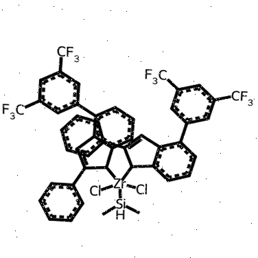 C[SiH](C)[Zr]([Cl])([Cl])([CH]1C(c2ccccc2)=Cc2c(-c3cc(C(F)(F)F)cc(C(F)(F)F)c3)cccc21)[CH]1C(c2ccccc2)=Cc2c(-c3cc(C(F)(F)F)cc(C(F)(F)F)c3)cccc21